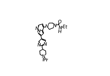 CCNC(=O)N1CCN(c2ccnn3cc(-c4cnc(C5CCN(C(C)C)CC5)nc4)cc23)CC1